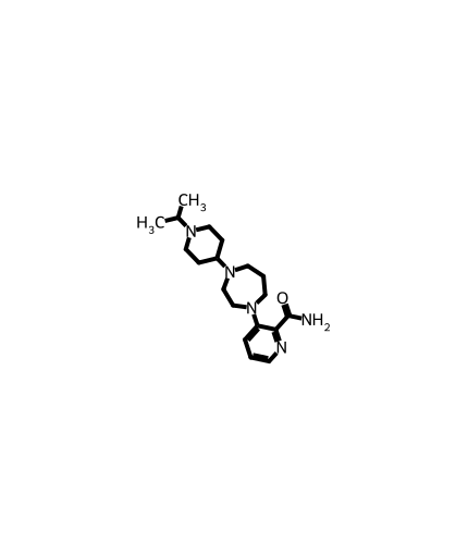 CC(C)N1CCC(N2CCCN(c3cccnc3C(N)=O)CC2)CC1